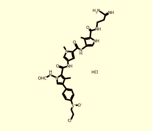 Cc1c(NC(=O)c2cc(NC(=O)c3c(C)c(-c4ccc([S+]([O-])CCCl)cc4)cn3NC=O)cn2C)c[nH]c1C(=O)NCCC(=N)N.Cl